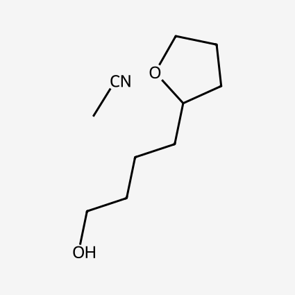 CC#N.OCCCCC1CCCO1